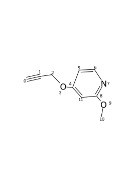 C#CCOc1ccnc(OC)c1